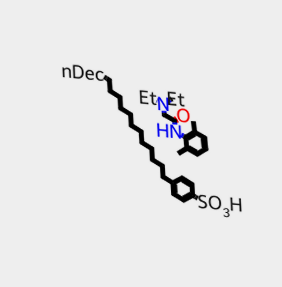 CCCCCCCCCCCCCCCCCCCCCCc1ccc(S(=O)(=O)O)cc1.CCN(CC)CC(=O)Nc1c(C)cccc1C